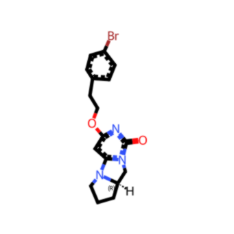 O=c1nc(OCCc2ccc(Br)cc2)cc2n1C[C@H]1CCCN21